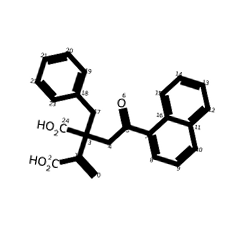 C=C(C(=O)O)C(CC(=O)c1cccc2ccccc12)(Cc1ccccc1)C(=O)O